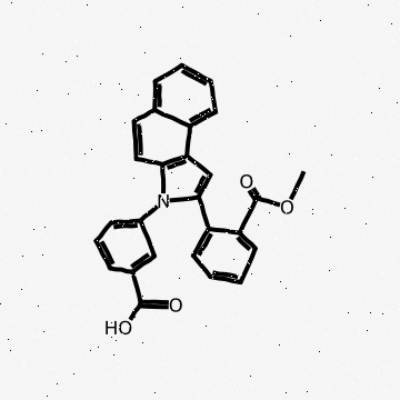 COC(=O)c1ccccc1-c1cc2c3ccccc3ccc2n1-c1cccc(C(=O)O)c1